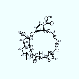 COC(=O)c1ccc2cc1OCCCCCc1csc(n1)NC(=O)C[C@@]1(C)NCCc3cc(OC)c(cc31)O2